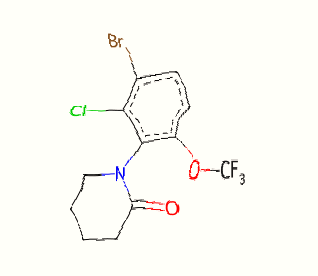 O=C1CCCCN1c1c(OC(F)(F)F)ccc(Br)c1Cl